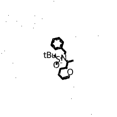 CC(C1CCC=CO1)N(Cc1ccccc1)[S+]([O-])C(C)(C)C